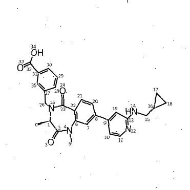 C[C@@H]1C(=O)N(C)c2cc(-c3ccnc(NCC4CC4)c3)ccc2C(=O)N1Cc1cccc(C(=O)O)c1